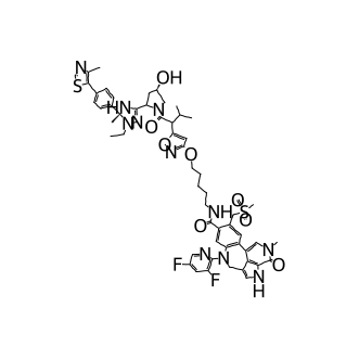 CCN1N=C(C2C[C@@H](O)CN2C(=O)C(c2cc(OCCCCCNC(=O)c3cc4c(cc3CS(C)(=O)=O)-c3cn(C)c(=O)c5[nH]cc(c35)CN4c3ncc(F)cc3F)no2)C(C)C)N[C@@]1(C)c1ccc(-c2scnc2C)cc1